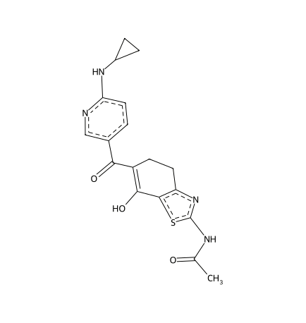 CC(=O)Nc1nc2c(s1)C(O)=C(C(=O)c1ccc(NC3CC3)nc1)CC2